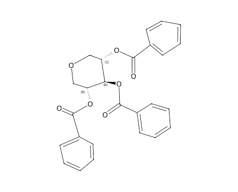 O=C(O[C@@H]1[C@@H](OC(=O)c2ccccc2)[CH]OC[C@H]1OC(=O)c1ccccc1)c1ccccc1